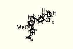 COc1cc2ncc(-c3cccc(N[C@H]4CNC[C@@H]4C(F)(F)F)n3)n2cc1-c1cnn(C2CC2)c1